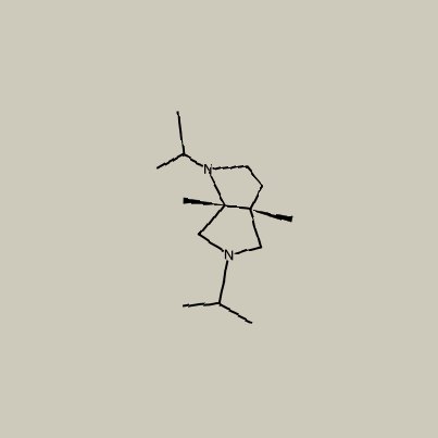 CC(C)N1C[C@@]2(C)CCN(C(C)C)[C@@]2(C)C1